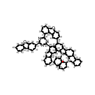 c1ccc(-n2c3ccccc3c3ccc4c5cc(-c6ccc7oc8cccc(-c9nc(-c%10ccc%11c(c%10)oc%10ccccc%10%11)nc(-c%10cccc%11c%10sc%10ccccc%10%11)n9)c8c7c6)ccc5n(-c5ccccc5)c4c32)cc1